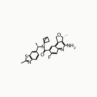 Cc1nc2ccc([C@@H](C)N(C(=O)c3cc4c5c(c(N)nc4cc3F)[C@@H](C)OC5)C34CC(C3)C4)cc2s1